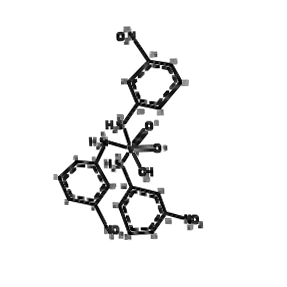 O=[N+]([O-])c1cccc([SiH2][V](=[O])(=[O])([OH])([SiH2]c2cccc([N+](=O)[O-])c2)[SiH2]c2cccc([N+](=O)[O-])c2)c1